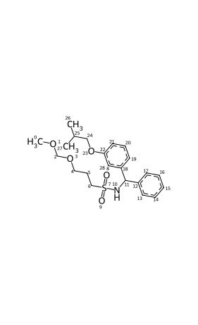 COCOCCCS(=O)(=O)NC(c1ccccc1)c1cccc(OCC(C)C)c1